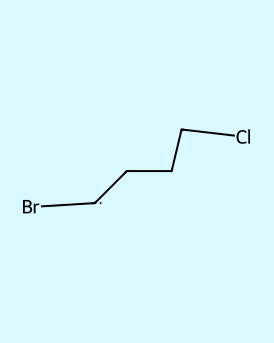 ClCCC[CH]Br